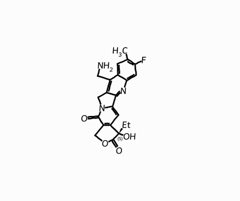 CC[C@@]1(O)C(=O)OCc2c1cc1n(c2=O)Cc2c-1nc1cc(F)c(C)cc1c2CN